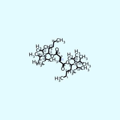 CCCCC(OC(=O)/C=C/C(=O)OC(CCCC)[Si](C(C)C)(C(C)C)C(C)C)[Si](C(C)C)(C(C)C)C(C)C